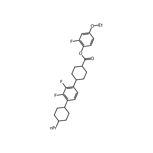 CCCC1CCC(c2ccc(C3CCC(C(=O)Oc4ccc(OCC)cc4F)CC3)c(F)c2F)CC1